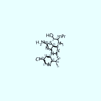 CCC[C@H](CO)N(C)c1nc(S[C@@H](C)c2ccc(Cl)cn2)nc2nc(N)sc12